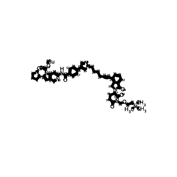 CN1CCC[C@@H]1c1cc2cnc(NC(=O)c3ccc(-c4cnn(CCCCC#Cc5cccc6c5CN(C5CCC(=O)N(COCC[Si](C)(C)C)C5=O)C6=O)c4)cc3)cc2n1C(=O)OC(C)(C)C